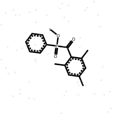 Cc1cc(C)c(C(=O)P(=O)(OI)c2ccccc2)c(C)c1